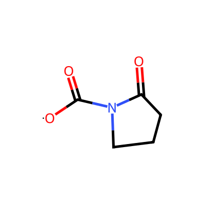 [O]C(=O)N1CCCC1=O